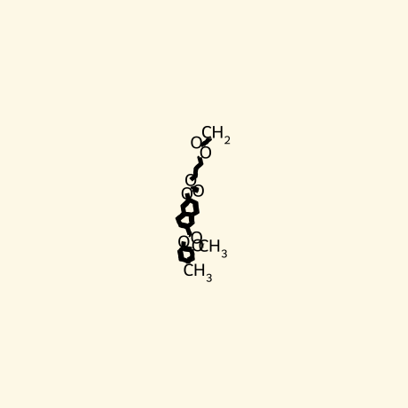 C=CC(=O)OCCCCOC(=O)Oc1ccc2cc(C(=O)Oc3ccc(C)cc3OC)ccc2c1